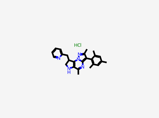 Cc1cc(C)c(-c2c(C)nn3c4c(c(C)nc23)NCC4Cc2ccccn2)c(C)c1.Cl